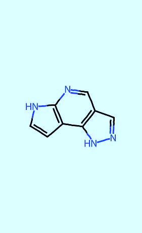 c1cc2c(ncc3cn[nH]c32)[nH]1